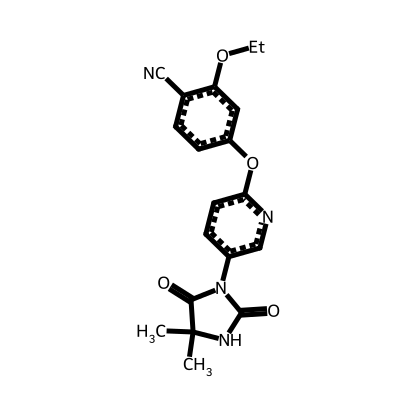 CCOc1cc(Oc2ccc(N3C(=O)NC(C)(C)C3=O)cn2)ccc1C#N